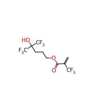 C=C(C(=O)OCCCC(O)(C(F)(F)F)C(F)(F)F)C(F)(F)F